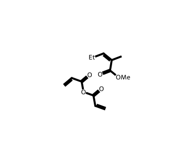 C=CC(=O)OC(=O)C=C.CCC=C(C)C(=O)OC